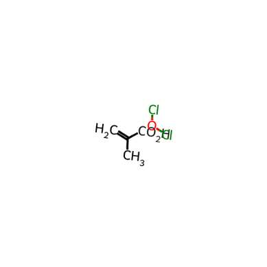 C=C(C)C(=O)O.ClOCl